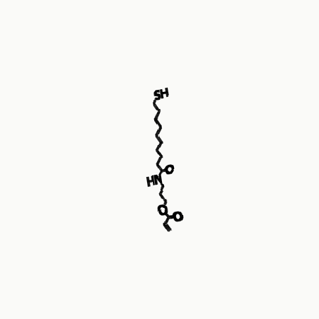 C=CC(=O)OCCCNC(=O)CCCCCCCCCS